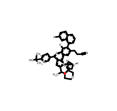 CC(c1cc2c(-c3ccc(C(C)(C)O)nc3)nc3c(F)c(-c4cccc5ccc(F)cc45)c(CCC#N)cc3c2n1[C@H]1[C@H]2CN[C@@H]1C2)N1CCOCC1=O